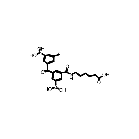 O=C(O)CCCCCNC(=O)c1cc(B(O)O)cc(C(=O)c2cc(F)cc(B(O)O)c2)c1